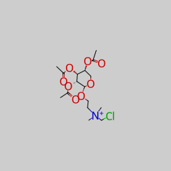 CC(=O)O[C@H]1[C@@H](OC(C)=O)COC(OCC[N+](C)(C)CCl)[C@@H]1OC(C)=O